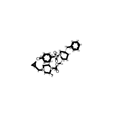 C[C@H]1CN(CC2CC2)CCN1C(=O)OC[C@H]1CC[C@@H](Cc2ccccc2)CN1S(=O)(=O)c1ccc(Cl)cc1